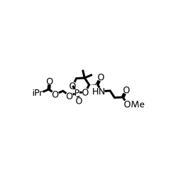 COC(=O)CCNC(=O)[C@@H]1OP(=O)(OCOC(=O)C(C)C)OCC1(C)C